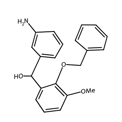 COc1cccc(C(O)c2cccc(N)c2)c1OCc1ccccc1